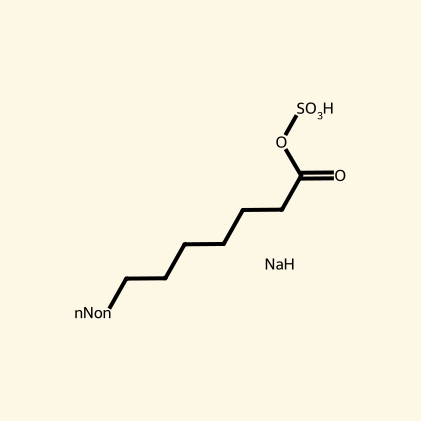 CCCCCCCCCCCCCCCC(=O)OS(=O)(=O)O.[NaH]